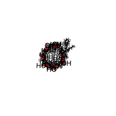 CCCCCN(CCC1(C)CC2CCCC(C2)C1)CC1O[C@@H]2O[C@@H]3C(CO)O[C@H](O[C@@H]4C(CO)O[C@H](O[C@@H]5C(CC)O[C@H](O[C@@H]6C(CO)O[C@H](O[C@@H]7C(CO)O[C@H](O[C@@H]8C(CO)O[C@H](O[C@H]1C(O)C2O)C(O)C8O)C(O)C7O)C(O)C6O)C(O)C5O)C(O)C4O)C(O)C3O